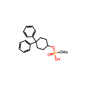 [CH2]OP(=O)(O)OC1CCC(c2ccccc2)(c2ccccc2)CC1